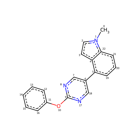 Cn1ccc2c(-c3cnc(Oc4ccccc4)nc3)cccc21